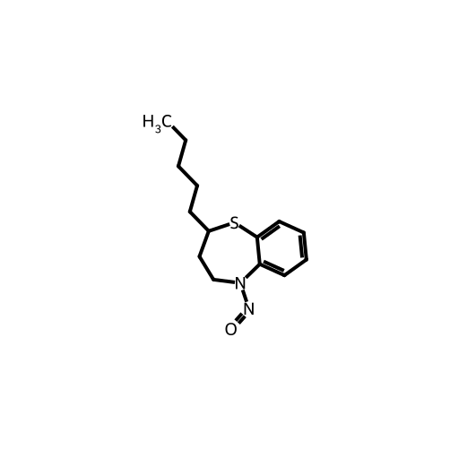 CCCCCC1CCN(N=O)c2ccccc2S1